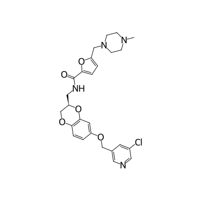 CN1CCN(Cc2ccc(C(=O)NC[C@@H]3COc4ccc(OCc5cncc(Cl)c5)cc4O3)o2)CC1